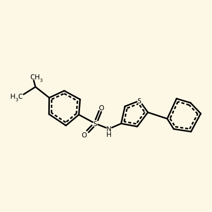 CC(C)c1ccc(S(=O)(=O)Nc2csc(-c3ccccc3)c2)cc1